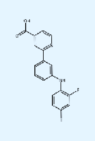 O=C(O)c1ccnc(-c2cccc(Nc3ccc(I)cc3F)c2)c1